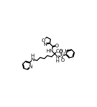 O=C(NC(CCCCCNc1ccccn1)(NS(=O)(=O)c1ccccc1)C(=O)O)C1=NOCC1